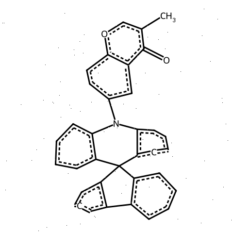 Cc1coc2ccc(N3c4ccccc4C4(c5ccccc5-c5ccccc54)c4ccccc43)cc2c1=O